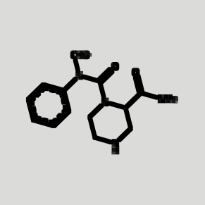 CNC(=O)C1CNCCN1C(=O)N([C]=O)c1ccccc1